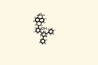 Oc1c(-c2nc(-c3ccccc3)nc(-c3ccccc3)n2)cccc1C1Cc2ccc3c4c(ccc(c24)C1)COC3